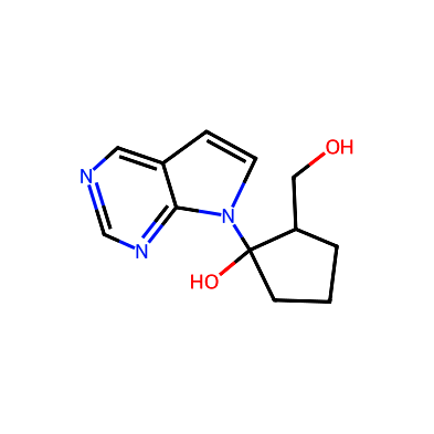 OCC1CCCC1(O)n1ccc2cncnc21